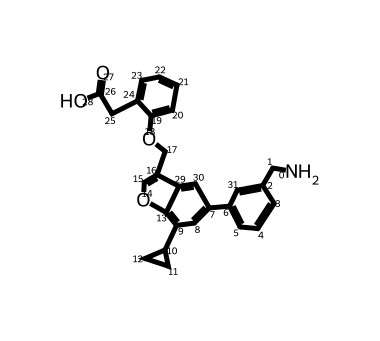 NCc1cccc(-c2cc(C3CC3)c3occ(COc4ccccc4CC(=O)O)c3c2)c1